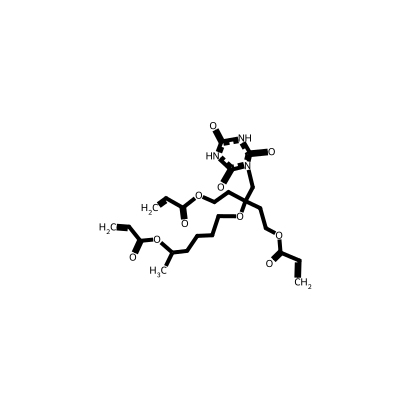 C=CC(=O)OCCC(CCOC(=O)C=C)(Cn1c(=O)[nH]c(=O)[nH]c1=O)OCCCCC(C)OC(=O)C=C